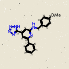 COc1ccc(CNc2cc(-c3nnn[nH]3)cc(-c3ccccc3)n2)cc1